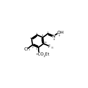 CCOC(=O)c1c(Cl)ccc(C=NO)c1F